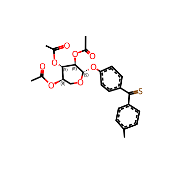 CC(=O)O[C@@H]1[C@@H](OC(C)=O)[C@H](Oc2ccc(C(=S)c3ccc(C)cc3)cc2)OC[C@H]1OC(C)=O